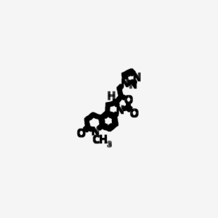 CN1C(=O)CCc2c1ccc1c2C[C@H]2C(Cn3ccnn3)OC(=O)N12